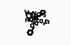 CCOC(=O)[C@H](CCc1ccccc1)N1[C@H](C(=O)OCc2ccccc2)C[C@H]2CCCCC[C@]21C(=O)C(C)N